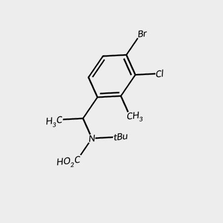 Cc1c(C(C)N(C(=O)O)C(C)(C)C)ccc(Br)c1Cl